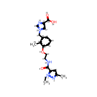 CCn1nc(C)cc1C(=O)NCCOc1cccc(Cn2cnc(C(=O)O)c2)c1C